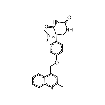 Cc1cc(COc2ccc([C@]3(N(C)C)CNC(=O)NC3=O)cc2)c2ccccc2n1